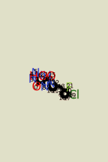 O=C(c1ncn[nH]1)c1nc2ccc(Cc3cccc(Cl)c3F)cn2c(=O)c1O